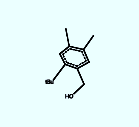 Cc1cc(CO)c(C(C)(C)C)cc1C